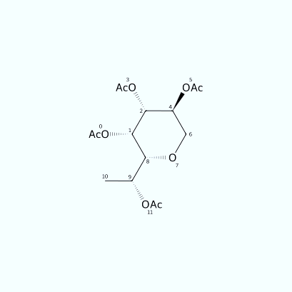 CC(=O)O[C@@H]1[C@H](OC(C)=O)[C@@H](OC(C)=O)CO[C@@H]1[C@@H](C)OC(C)=O